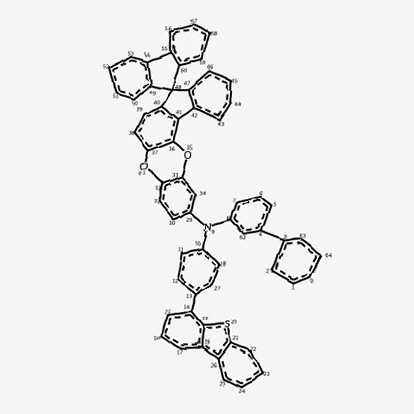 c1ccc(-c2cccc(N(c3ccc(-c4cccc5c4sc4ccccc45)cc3)c3ccc4c(c3)Oc3c(ccc5c3-c3ccccc3C53c5ccccc5-c5ccccc53)O4)c2)cc1